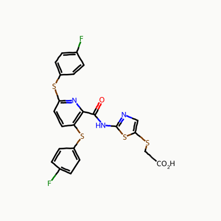 O=C(O)CSc1cnc(NC(=O)c2nc(Sc3ccc(F)cc3)ccc2Sc2ccc(F)cc2)s1